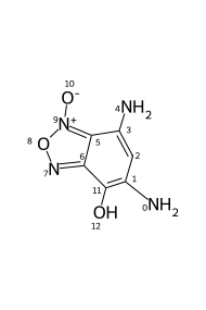 Nc1cc(N)c2c(no[n+]2[O-])c1O